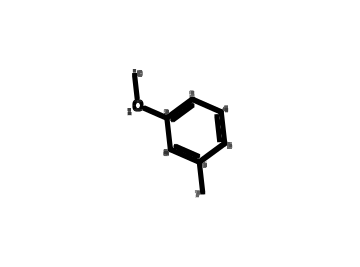 [CH2]Oc1cccc(C)c1